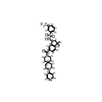 CC1(C)CC(NS(=O)(=O)c2cccc(C(F)(F)F)c2)c2cc(C(=O)N3CCC4(CC3)CCN(c3ccncc3)CC4)ccc21